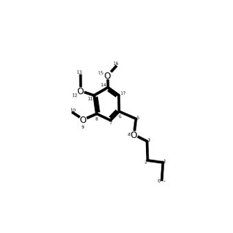 [CH2]CCCOCc1cc(OC)c(OC)c(OC)c1